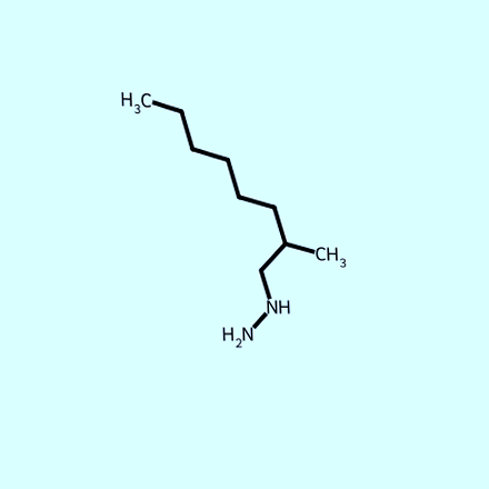 CCCCCCC(C)CNN